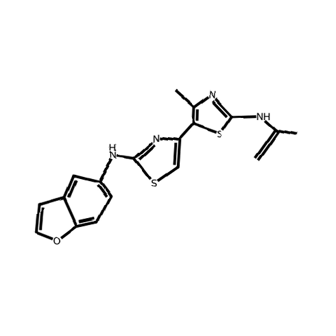 C=C(C)Nc1nc(C)c(-c2csc(Nc3ccc4occc4c3)n2)s1